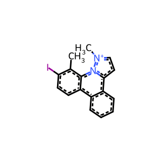 Cc1c(I)ccc2c3ccccc3c3cc[n+](C)n3c12